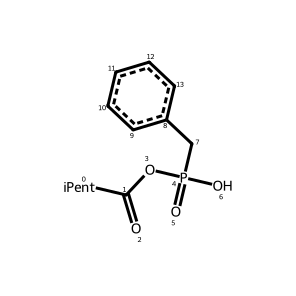 CCCC(C)C(=O)OP(=O)(O)Cc1ccccc1